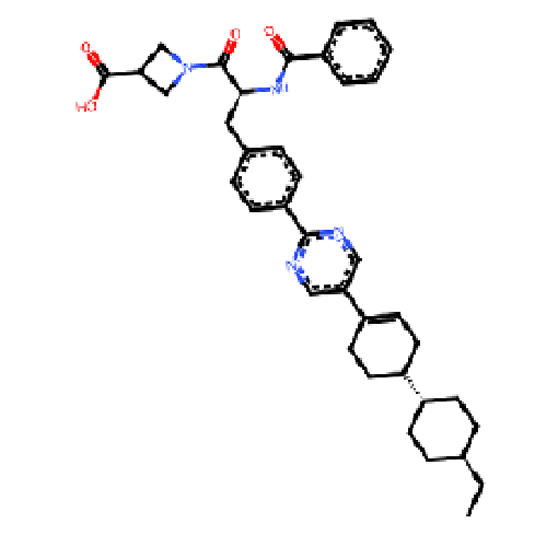 CC[C@H]1CC[C@H](C2CC=C(c3cnc(-c4ccc(C[C@H](NC(=O)c5ccccc5)C(=O)N5CC(C(=O)O)C5)cc4)nc3)CC2)CC1